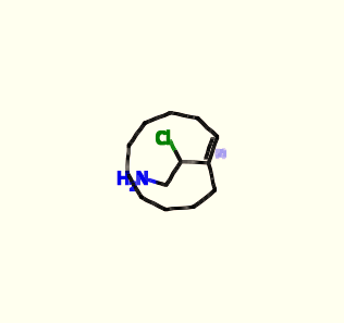 NCC(Cl)/C1=C\CCCCCCCCC1